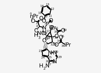 CCCOC(=O)[C@H](C)NP(=O)(Oc1ccccc1)OC1[C@@]2(C#N)O[C@@H](c3ccc4c(N)ncnn34)[C@H](OC(=O)C(C)C)[C@@]12OC(=O)C(C)C